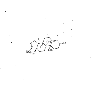 C[C@]12CCC(=O)C=C1CC[C@H]1[C@@H]3CC=C(C#N)[C@@]3(C)CC[C@@]12O